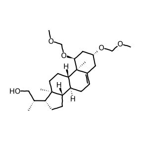 COCO[C@@H]1CC2=CC[C@H]3[C@@H]4CC[C@H]([C@H](C)CO)[C@@]4(C)CC[C@@H]3[C@@]2(C)[C@@H](OCOC)C1